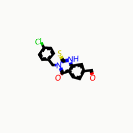 O=Cc1ccc2c(=O)n(Cc3ccc(Cl)cc3)c(=S)[nH]c2c1